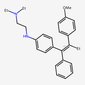 CC/C(=C(\c1ccccc1)c1ccc(NCCN(CC)CC)cc1)c1ccc(OC)cc1